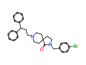 O=C1N(Cc2ccc(Br)cc2)CCC12CCN(CCC(c1ccccc1)c1ccccc1)CC2